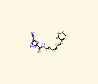 N#Cc1c[nH]c(C(=O)N/C=C/C=C\C=C\C2=CCCCC2)n1